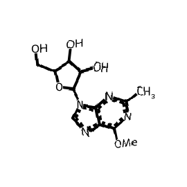 COc1nc(C)nc2c1ncn2C1OC(CO)C(O)C1O